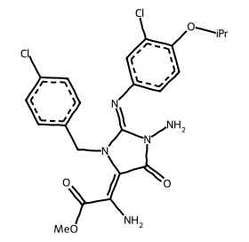 COC(=O)/C(N)=C1/C(=O)N(N)/C(=N\c2ccc(OC(C)C)c(Cl)c2)N1Cc1ccc(Cl)cc1